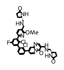 COc1nc(-c2cc(F)cc(-c3cccc(-c4ccn5c(=O)c(CNC[C@H]6CCC(=O)N6)cnc5c4)c3Cl)c2Cl)ccc1CNC[C@@H]1CCC(=O)N1